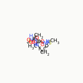 C=CCCCCN(C)C(=O)[C@@H]1C[C@H](OC(=O)Nc2cc(C(F)(F)F)ccc2C2=NCC(C)S2)C[C@H]1C(=O)N[C@]1(C(=O)NS(=O)(=O)C2CC2)C[C@H]1C=C